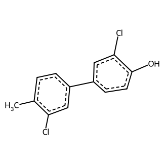 Cc1ccc(-c2ccc(O)c(Cl)c2)cc1Cl